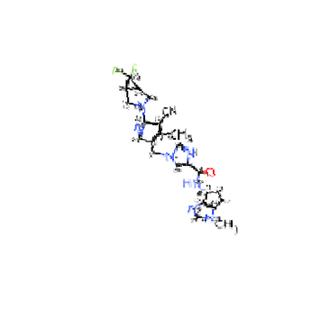 Cc1c(Cn2cnc(C(=O)N[C@@H]3CCc4c3ncn4C)c2)cnc(N2CC3C(C2)C3(F)F)c1C#N